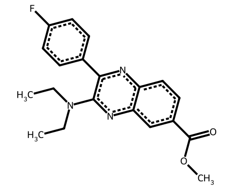 CCN(CC)c1nc2cc(C(=O)OC)ccc2nc1-c1ccc(F)cc1